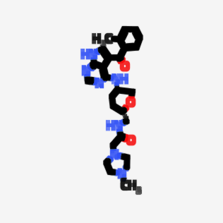 Cc1ccccc1C(=O)c1c[nH]c2ncnc(N[C@@H]3CC[C@@H](CNC(=O)CN4CCN(C)CC4)OC3)c12